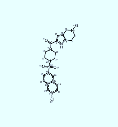 CCN1CCc2[nH]c(C(=O)N3CCN(S(=O)(=O)c4ccc5cc(Cl)ccc5c4)CC3)cc2C1